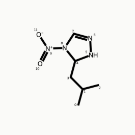 CC(C)CC1NN=CN1[N+](=O)[O-]